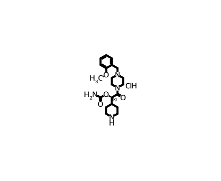 COc1ccccc1CN1CCN(C(=O)[C@H](OC(N)=O)C2CCNCC2)CC1.Cl